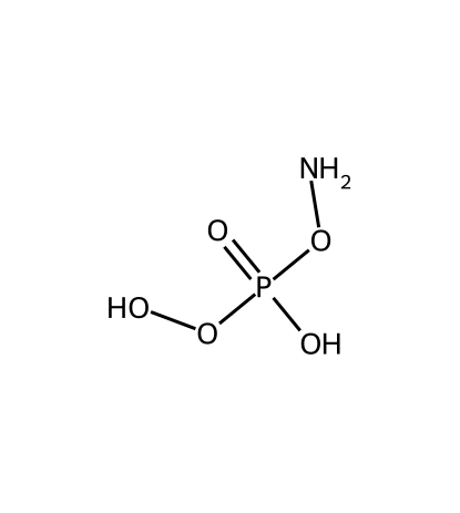 NOP(=O)(O)OO